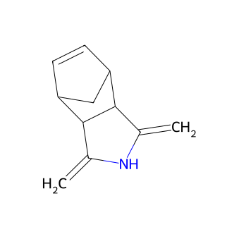 C=C1NC(=C)C2C3C=CC(C3)C12